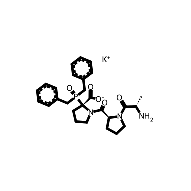 C[C@H](N)C(=O)N1CCC[C@H]1C(=O)N1CCC[C@]1(C(=O)[O-])P(=O)(Cc1ccccc1)Cc1ccccc1.[K+]